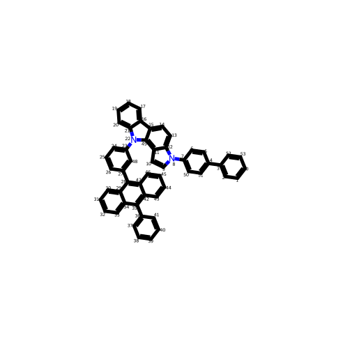 c1ccc(-c2ccc(-n3ccc4c3ccc3c5ccccc5n(-c5cccc(-c6c7ccccc7c(-c7ccccc7)c7ccccc67)c5)c34)cc2)cc1